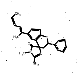 C/C=C\C=C(/C)c1ccc2c(c1)C1(CC(c3ccccc3)O2)N=C(N)N(C)C1=O